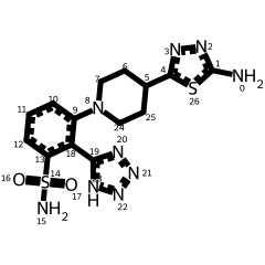 Nc1nnc(C2CCN(c3cccc(S(N)(=O)=O)c3-c3nnn[nH]3)CC2)s1